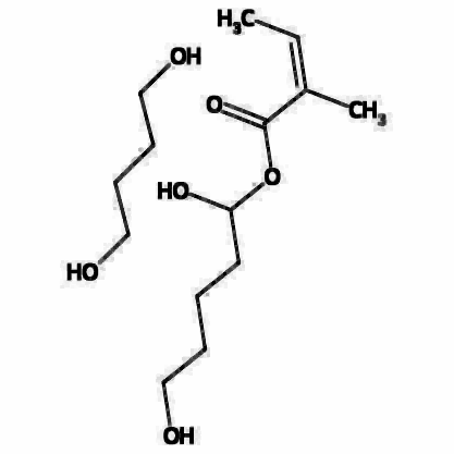 CC=C(C)C(=O)OC(O)CCCCO.OCCCCO